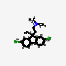 CCCC1(CCN(C)C)c2cc(Br)ccc2-c2ccc(Br)cc21